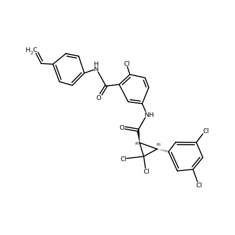 C=Cc1ccc(NC(=O)c2cc(NC(=O)[C@H]3[C@H](c4cc(Cl)cc(Cl)c4)C3(Cl)Cl)ccc2Cl)cc1